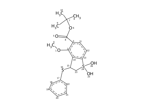 COc1c(C(=O)OC(C)(C)C)ccc2c1C(Sc1ccccc1)CS2(O)O